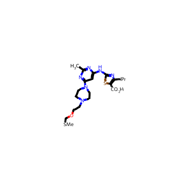 CSCOCCN1CCN(c2cc(Nc3nc(C(C)C)c(C(=O)O)s3)nc(C)n2)CC1